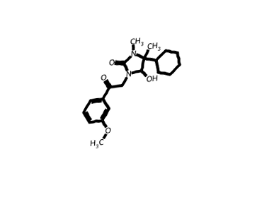 COc1cccc(C(=O)CN2C(=O)N(C)C(C)(C3CCCCC3)C2O)c1